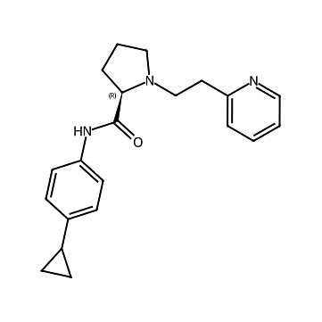 O=C(Nc1ccc(C2CC2)cc1)[C@H]1CCCN1CCc1ccccn1